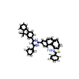 CC1(C)c2ccccc2-c2ccc(-c3cc(-c4ccccc4)nc(-c4ccc5c(ccc6ccc7c(c65)NC(c5ccccc5)S7)c4)n3)cc21